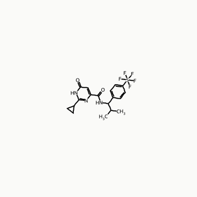 CC(C)C(NC(=O)c1cc(=O)[nH]c(C2CC2)n1)c1ccc(S(F)(F)(F)(F)F)cc1